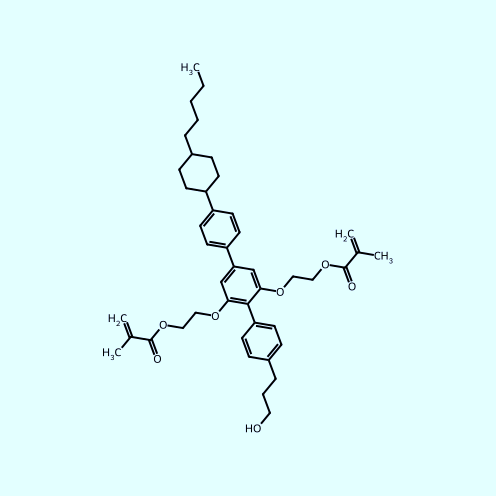 C=C(C)C(=O)OCCOc1cc(-c2ccc(C3CCC(CCCCC)CC3)cc2)cc(OCCOC(=O)C(=C)C)c1-c1ccc(CCCO)cc1